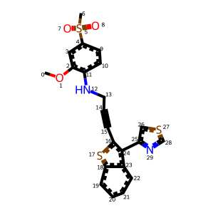 COc1cc(S(C)(=O)=O)ccc1NCC#Cc1sc2ccccc2c1-c1cscn1